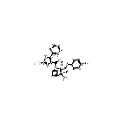 Cc1nc(C(=O)N2C3CC(C3)[C@@H](C)[C@@H]2COc2ccc(F)cc2)c(-c2ncccn2)s1